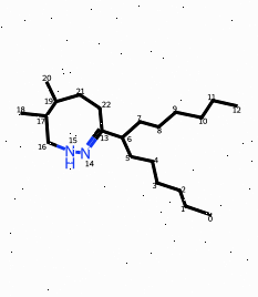 CCCCCCC(CCCCCC)/C1=N/NCC(C)C(C)CC1